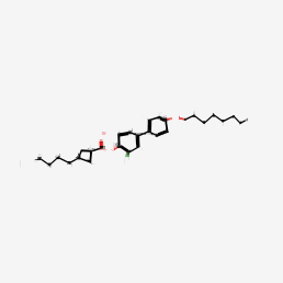 CCCCCCCCOc1ccc(-c2ccc(OC(=O)C3CC(CCCCC)C3)c(F)c2)cc1